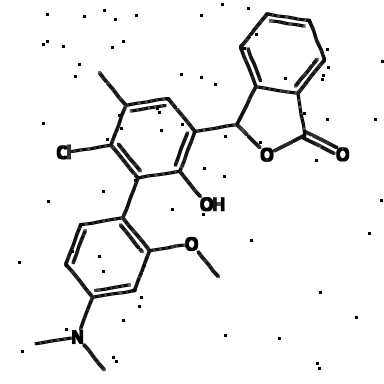 COc1cc(N(C)C)ccc1-c1c(O)c(C2OC(=O)c3ccccc32)cc(C)c1Cl